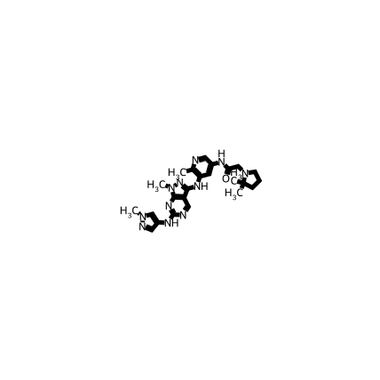 Cc1ncc(NC(=O)CN2CCCC2(C)C)cc1Nc1nn(C)c2nc(Nc3cnn(C)c3)ncc12